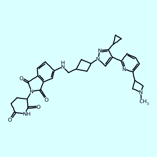 CN1CC(c2cccc(-c3cn(C4CC(CNc5ccc6c(c5)C(=O)N(C5CCC(=O)NC5=O)C6=O)C4)nc3C3CC3)n2)C1